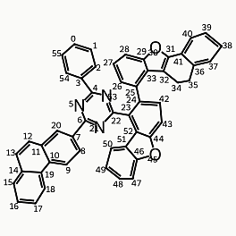 c1ccc(-c2nc(-c3ccc4c(ccc5ccccc54)c3)nc(-c3c(-c4cccc5oc6c(c45)CCc4ccccc4-6)ccc4oc5ccccc5c34)n2)cc1